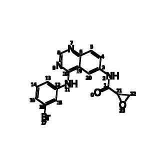 O=C(Nc1ccc2ncnc(Nc3cccc(Br)c3)c2c1)C1CO1